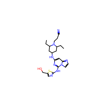 CCC1CC(Nc2cc3nccn3c(Nc3ncc(CO)s3)n2)CC(CC)N1CCC#N